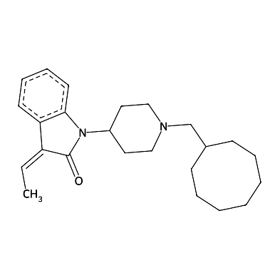 CC=C1C(=O)N(C2CCN(CC3CCCCCCC3)CC2)c2ccccc21